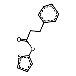 O=C(CCc1ccccc1)Oc1cccs1